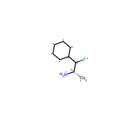 C[C@H](N)C(F)C1CCCCC1